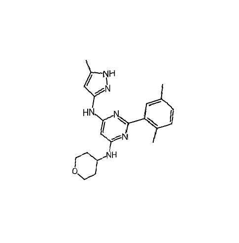 Cc1ccc(C)c(-c2nc(Nc3cc(C)[nH]n3)cc(NC3CCOCC3)n2)c1